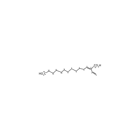 C=CC(=CCCCCCCCCCCC(=O)O)C(=O)O